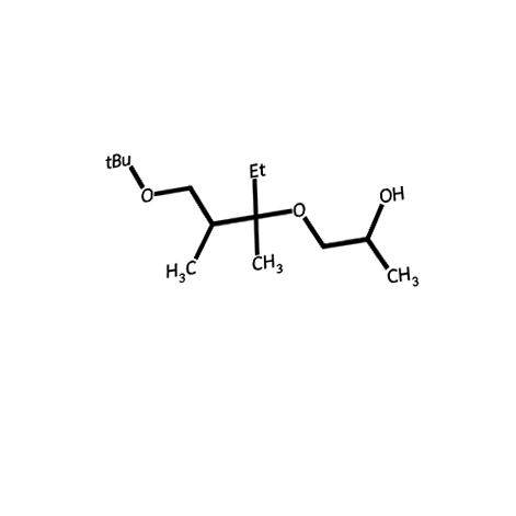 CCC(C)(OCC(C)O)C(C)COC(C)(C)C